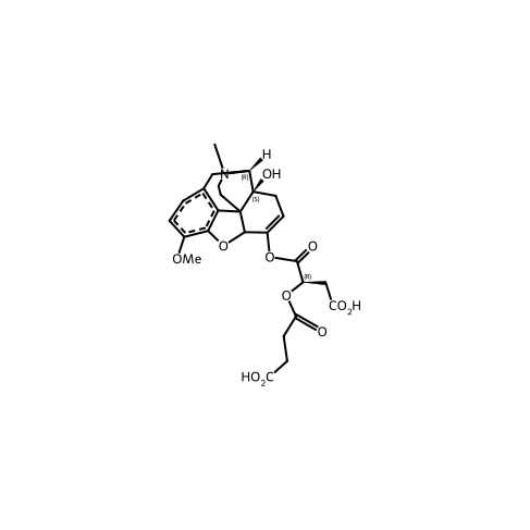 COc1ccc2c3c1OC1C(OC(=O)[C@@H](CC(=O)O)OC(=O)CCC(=O)O)=CC[C@@]4(O)[C@@H](C2)N(C)CCC314